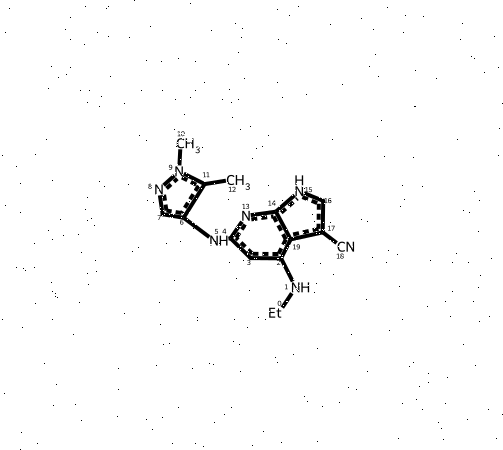 CCNc1cc(Nc2cnn(C)c2C)nc2[nH]cc(C#N)c12